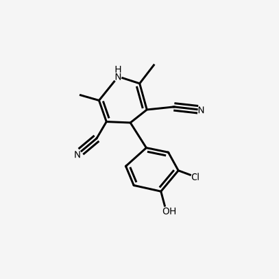 CC1=C(C#N)C(c2ccc(O)c(Cl)c2)C(C#N)=C(C)N1